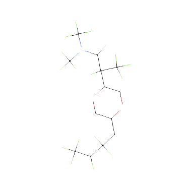 FC(C(F)(F)F)C(F)(F)CC1COC(C(F)(C(F)N(C(F)(F)F)C(F)(F)F)C(F)(F)F)CO1